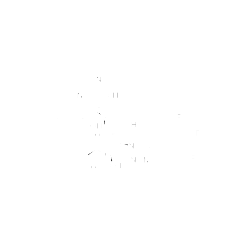 Cc1nccnc1[C@@H](S[C@@H]1O[C@H](CO)[C@H](O)[C@H](n2cc(-c3cc(F)c(F)c(F)c3)nn2)[C@H]1O)C1(O)CCC(F)(F)CC1